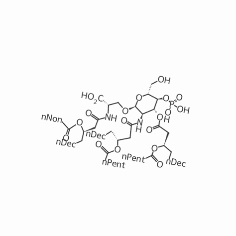 CCCCCCCCCCC[C@H](CC(=O)N[C@H]1[C@@H](OC[C@H](NC(=O)C[C@@H](CCCCCCCCCCC)OC(=O)CCCCCCCCC)C(=O)O)O[C@H](CO)[C@@H](OP(=O)(O)O)[C@@H]1OC(=O)C[C@@H](CCCCCCCCCCC)OC(=O)CCCCC)OC(=O)CCCCC